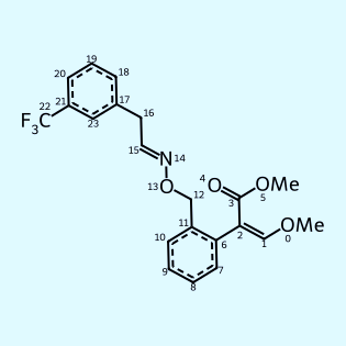 COC=C(C(=O)OC)c1ccccc1CON=CCc1cccc(C(F)(F)F)c1